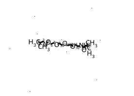 CC(C)/C=N/OCCOCCOCCOCCNC(=O)C(C)C